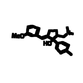 COc1cccc(/C=C2\CCC(CN(C)C)C2(O)c2ccc(C)cc2)c1